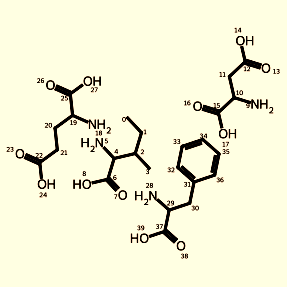 CCC(C)C(N)C(=O)O.NC(CC(=O)O)C(=O)O.NC(CCC(=O)O)C(=O)O.NC(Cc1ccccc1)C(=O)O